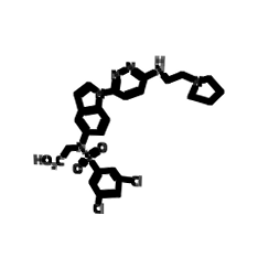 O=C(O)CN(c1ccc2c(ccn2-c2ccc(NCCN3CCCC3)nn2)c1)S(=O)(=O)c1cc(Cl)cc(Cl)c1